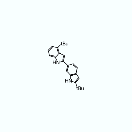 CC(C)(C)c1cc2ccc(-c3cc4c(C(C)(C)C)cccc4[nH]3)cc2[nH]1